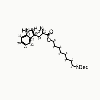 CCCCCCCCCCCCCCCCCCOC(=O)C(N)Cc1c[nH]c2ccccc12